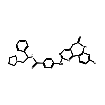 O=C1Cc2cnc(Nc3ccc(C(=O)NC(CN4CCCC4)c4ccccc4)cc3)nc2-c2ccc(Cl)cc2N1